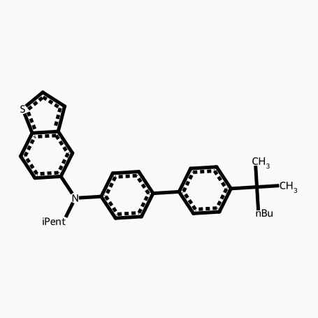 CCCCC(C)(C)c1ccc(-c2ccc(N(c3ccc4sccc4c3)C(C)CCC)cc2)cc1